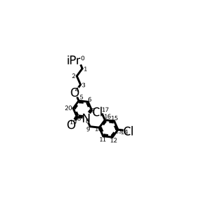 CC(C)CCCOc1ccn(Cc2ccc(Cl)cc2Cl)c(=O)c1